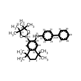 CC1(C)CCC(C)(C)c2cc(B3OC(C)(C)C(C)(C)O3)c(Nc3ccc(-c4ccccc4)cc3)cc21